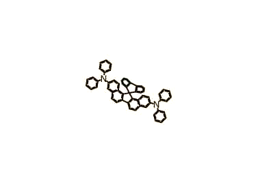 c1ccc(N(c2ccccc2)c2ccc3c4c(ccc3c2)-c2ccc3cc(N(c5ccccc5)c5ccccc5)ccc3c2C42c3ccccc3-c3ccccc32)cc1